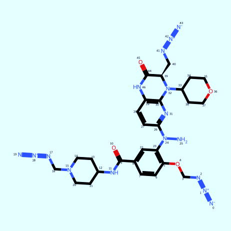 [N-]=[N+]=NCOc1ccc(C(=O)NC2CCN(CN=[N+]=[N-])CC2)cc1N(N)c1ccc2c(n1)N(C1CCOCC1)[C@H](CN=[N+]=[N-])C(=O)N2